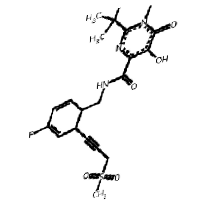 CC1(C)OCCn2c1nc(C(=O)NCC1C=CC(F)=CC1C#CCS(C)(=O)=O)c(O)c2=O